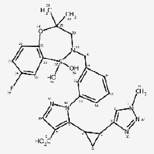 Cn1cc(C2CC2c2c(C(=O)O)cnn2-c2cccc(CN3CC(C)(C)Oc4ccc(F)cc4S3(O)O)c2)nn1